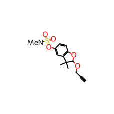 C#CCOC1Oc2ccc(OS(=O)(=O)NC)cc2C1(C)C